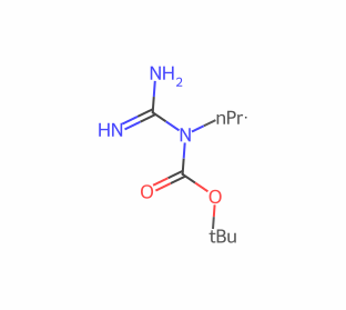 CC[CH]N(C(=N)N)C(=O)OC(C)(C)C